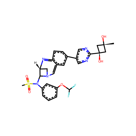 CS(=O)(=O)N1c2cccc(OC(F)F)c2[N@+]23C=c4cc(-c5cnc([C@]6(O)C[C@](C)(O)C6)nc5)ccc4=N[C@H](C2)C13